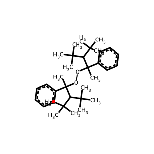 CC(C)(C)C(C(C)(C)C)C(C)(OOC(C)(c1ccccc1)C(C(C)(C)C)C(C)(C)C)c1ccccc1